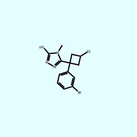 CCC1CC(c2cccc(Br)c2)(c2nnc(S)n2C)C1